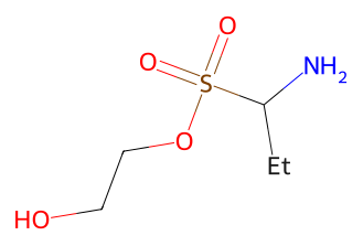 CCC(N)S(=O)(=O)OCCO